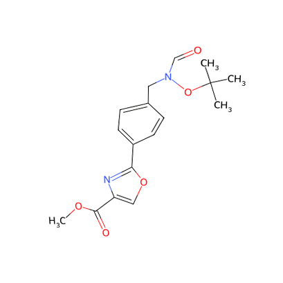 COC(=O)c1coc(-c2ccc(CN(C=O)OC(C)(C)C)cc2)n1